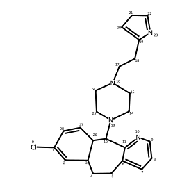 ClC1=CC2CCc3cccnc3C(N3CCN(CCC4=CCC=N4)CC3)C2C=C1